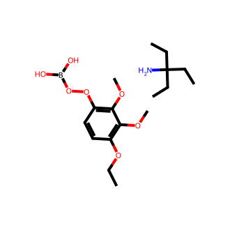 CCC(N)(CC)CC.CCOc1ccc(OOB(O)O)c(OC)c1OC